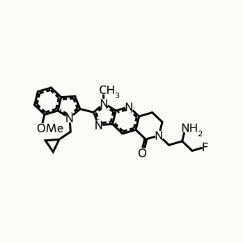 COc1cccc2cc(-c3nc4cc5c(nc4n3C)CCN(CC(N)CF)C5=O)n(CC3CC3)c12